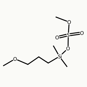 COCCC[Si](C)(C)OS(=O)(=O)OC